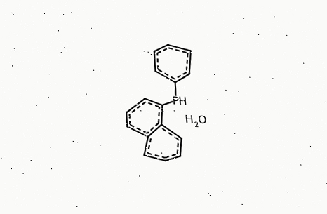 O.c1ccc(Pc2cccc3ccccc23)cc1